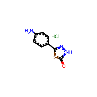 Cl.Nc1ccc(-c2n[nH]c(=O)s2)cc1